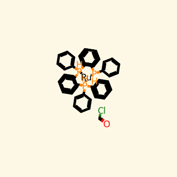 O=CCl.c1ccc([PH](c2ccccc2)(c2ccccc2)[Ru]([PH](c2ccccc2)(c2ccccc2)c2ccccc2)[PH](c2ccccc2)(c2ccccc2)c2ccccc2)cc1